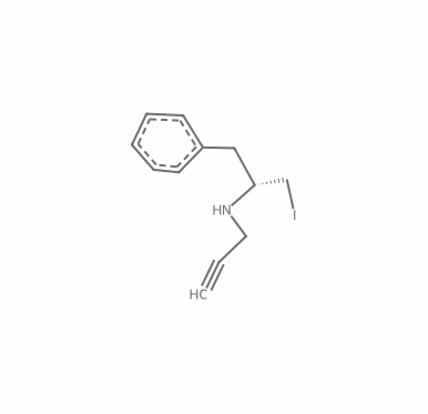 C#CCN[C@@H](CI)Cc1ccccc1